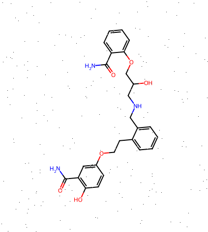 NC(=O)c1cc(OCCc2ccccc2CNCC(O)COc2ccccc2C(N)=O)ccc1O